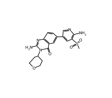 CS(=O)(=O)c1cc(-c2ccc3nc(N)n(C4CCOCC4)c(=O)c3c2)cnc1N